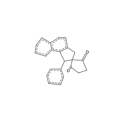 O=C1CCC(=O)C12Cc1ccc3ccccc3c1C2c1ccccc1